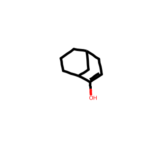 OC1=CCC2CCCC1C2